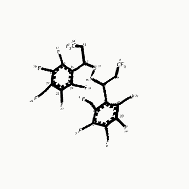 Fc1c(F)c(F)c(C(CC(F)(F)F)SSC(CC(F)(F)F)c2c(F)c(F)c(F)c(F)c2F)c(F)c1F